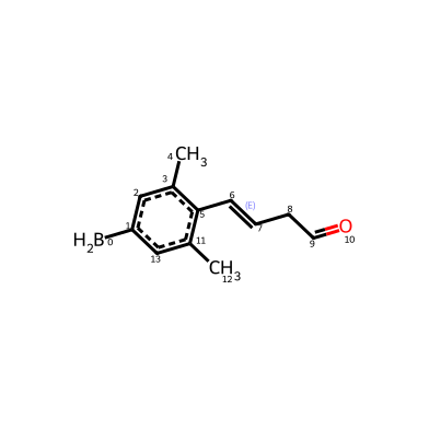 Bc1cc(C)c(/C=C/CC=O)c(C)c1